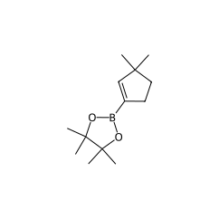 CC1(C)C=C(B2OC(C)(C)C(C)(C)O2)CC1